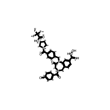 N=C(NO)c1ccc2c(c1)N(Cc1ccc(C(=O)N3CCCC3)cc1)C(=O)CN(C(=O)c1ccc(Cl)cc1)C2.O=C(O)C(F)(F)F